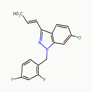 O=C(O)/C=C/c1nn(Cc2ccc(F)cc2F)c2cc(Cl)ccc12